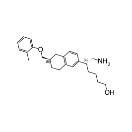 Cc1ccccc1OC[C@@H]1CCc2cc([C@H](CN)CCCCO)ccc2C1